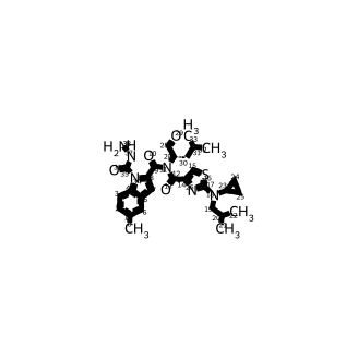 Cc1ccc2c(c1)cc(C(=O)N(C(=O)c1csc(N(CC(C)C)C3CC3)n1)[C@H]([C]=O)CC(C)C)n2C(=O)NN